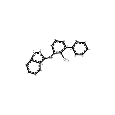 Cc1c(Nc2nsc3ccccc23)cccc1-c1ccccc1